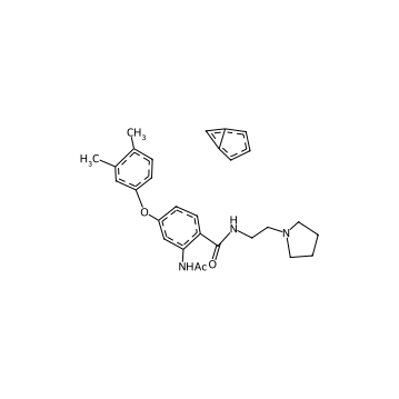 CC(=O)Nc1cc(Oc2ccc(C)c(C)c2)ccc1C(=O)NCCN1CCCC1.c1cc2cc-2c1